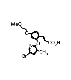 COCCOc1ccc(C=CC(=O)O)c(Oc2ncc(Br)cc2C)c1